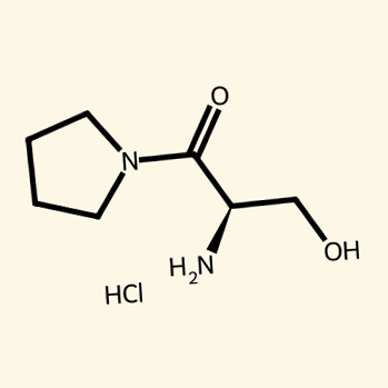 Cl.N[C@H](CO)C(=O)N1CCCC1